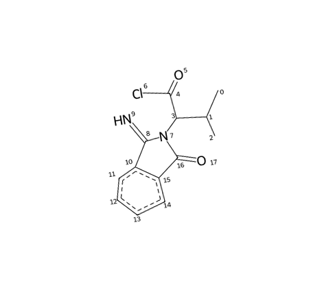 CC(C)C(C(=O)Cl)N1C(=N)c2ccccc2C1=O